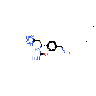 NCc1ccc([C@H](Cc2nnn[nH]2)NC(N)=O)cc1